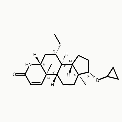 CC[C@H]1C[C@H]2NC(=O)C=C[C@]2(C)[C@H]2CC[C@]3(C)[C@@H](OC4CC4)CC[C@H]3[C@H]12